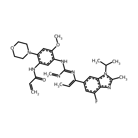 C=CC(=O)Nc1cc(N/C(N=C)=N/C(=C\C)c2cc(F)c3nc(C)n(C(C)C)c3c2)c(OC)cc1N1CCOCC1